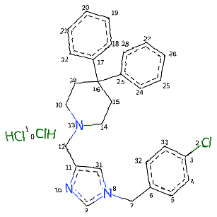 Cl.Cl.Clc1ccc(Cn2cnc(CN3CCC(c4ccccc4)(c4ccccc4)CC3)c2)cc1